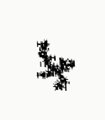 Cc1cnn(C)c1-c1c(C)nc(Nc2cc([C@H]3C[C@@H](F)[C@@H](OC(=O)NC(C)C)C3)[nH][n+]2-c2cnc(Nc3cc([C@H]4CC[C@@H](OC(=O)NC(C)C)[C@@H]4F)[nH]n3)n3cc(CN4CC(F)C4)nc23)n2ccnc12